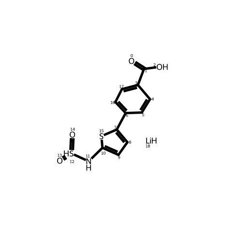 O=C(O)c1ccc(-c2ccc(N[SH](=O)=O)s2)cc1.[LiH]